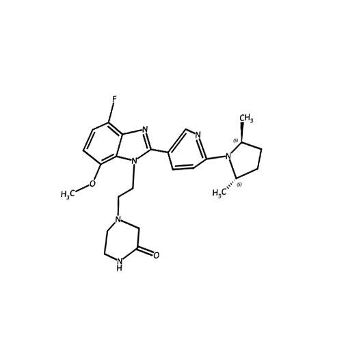 COc1ccc(F)c2nc(-c3ccc(N4[C@@H](C)CC[C@@H]4C)nc3)n(CCN3CCNC(=O)C3)c12